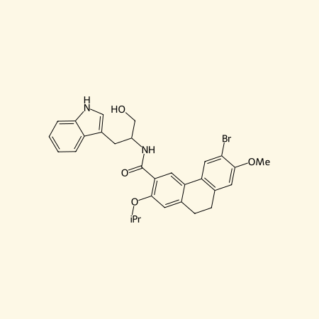 COc1cc2c(cc1Br)-c1cc(C(=O)NC(CO)Cc3c[nH]c4ccccc34)c(OC(C)C)cc1CC2